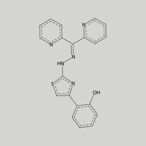 Oc1ccccc1-c1csc(NN=C(c2ccccn2)c2ccccn2)n1